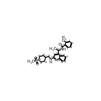 Cc1ccccc1C(=O)NC(C)c1cc(NCC2CCN(S(C)(=O)=O)CC2)nc2ccccc12